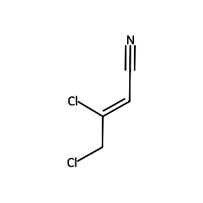 N#CC=C(Cl)CCl